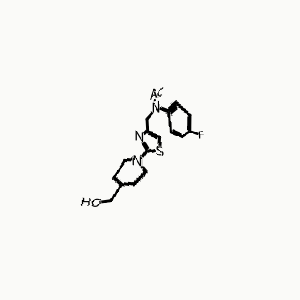 CC(=O)N(Cc1csc(N2CCC(CO)CC2)n1)c1ccc(F)cc1